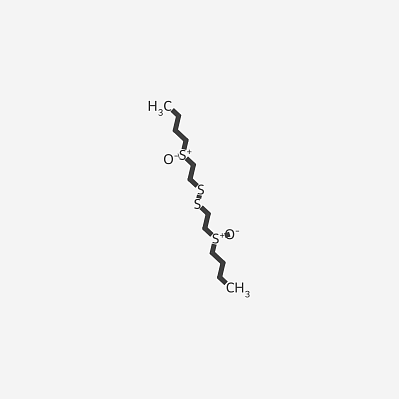 CCCC[S+]([O-])CCSSCC[S+]([O-])CCCC